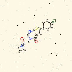 O=C(Cn1cnc2sc(-c3ccc(Cl)cc3)cc2c1=O)N1CCC1